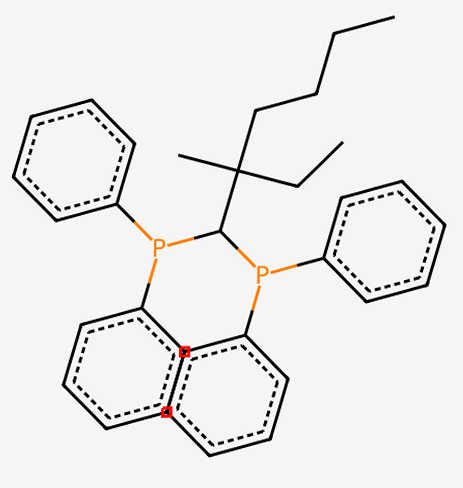 CCCCC(C)(CC)C(P(c1ccccc1)c1ccccc1)P(c1ccccc1)c1ccccc1